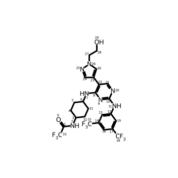 O=C(NC1CCC(Nc2nc(Nc3cc(C(F)(F)F)cc(C(F)(F)F)c3)ncc2-c2cnn(CCO)c2)CC1)C(F)(F)F